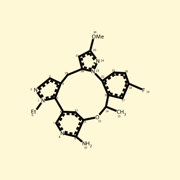 CCn1ncc2c1-c1cnc(N)c(c1)OC(C)c1cc(F)ccc1-n1nc(OC)cc1C2